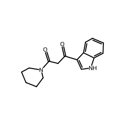 O=C(CC(=O)N1CCCCC1)c1c[nH]c2ccccc12